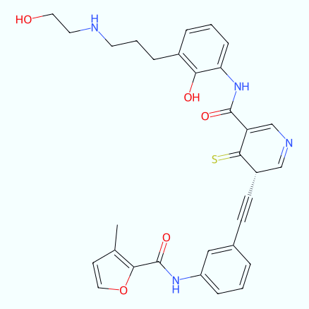 Cc1ccoc1C(=O)Nc1cccc(C#C[C@H]2C=NC=C(C(=O)Nc3cccc(CCCNCCO)c3O)C2=S)c1